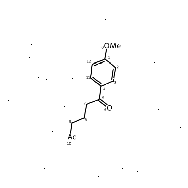 COc1ccc(C(=O)CCCC(C)=O)cc1